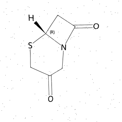 O=C1CS[C@@H]2CC(=O)N2C1